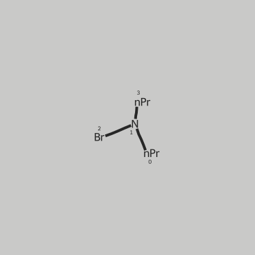 CCCN(Br)CCC